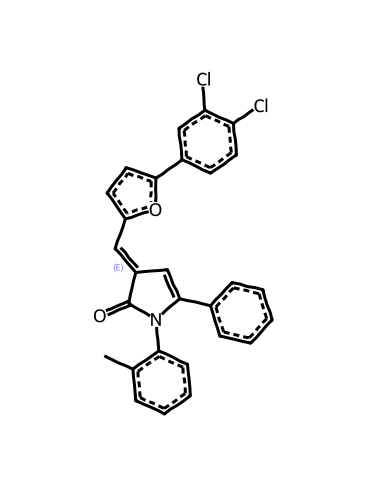 Cc1ccccc1N1C(=O)/C(=C/c2ccc(-c3ccc(Cl)c(Cl)c3)o2)C=C1c1ccccc1